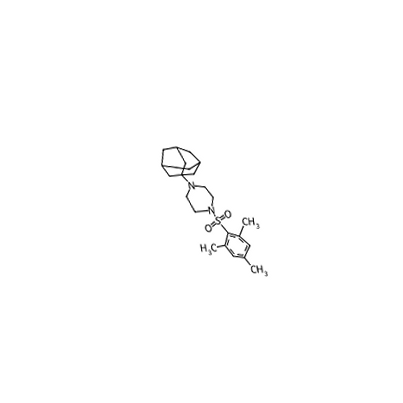 Cc1cc(C)c(S(=O)(=O)N2CCN(C34CC5CC(CC(C5)C3)C4)CC2)c(C)c1